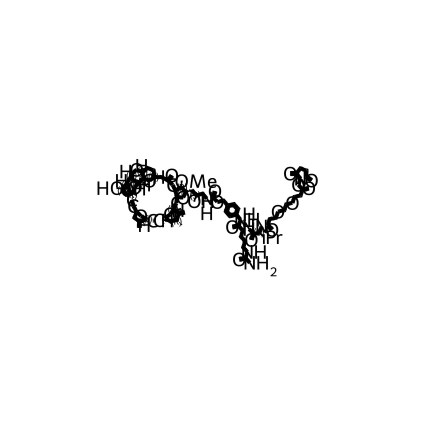 C=C1CC2CC[C@]34C[C@@H](O)[C@H](O3)[C@H]3C[C@@H](O4)[C@H]4O[C@H](CC[C@@H]4O3)CC(=O)CC3C(C[C@H]4O[C@@H](CC[C@@H]1O2)C[C@@H](C)C4=C)O[C@H](C[C@H](O)CNC(=O)OCc1ccc(NC(=O)C(CCCNC(N)=O)NC(=O)[C@@H](NC(=O)CCOCCOCCC(=O)ON2C(=O)CCC2=O)C(C)C)cc1)[C@@H]3OC